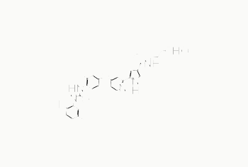 Cc1ccc(F)c(NC(=O)Nc2ccc(Oc3ccnc(-c4cc(C(=O)NCCCC=O)c[nH]4)c3)cc2F)c1